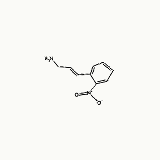 NCC=Cc1ccccc1[N+](=O)[O-]